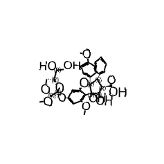 COc1ccc([C@@]23Oc4cc(O[C@@H]5O[C@@H]([C@H](O)CO)CO[C@H]5OC)cc(OC)c4[C@]2(O)[C@H](O)[C@H](C(=O)O)[C@H]3c2ccccc2)cc1